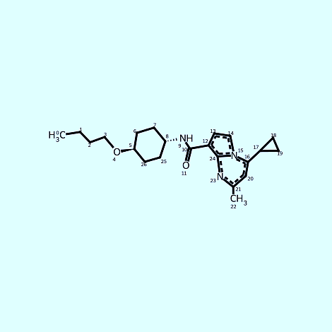 CCCCO[C@H]1CC[C@H](NC(=O)c2ccn3c(C4CC4)cc(C)nc23)CC1